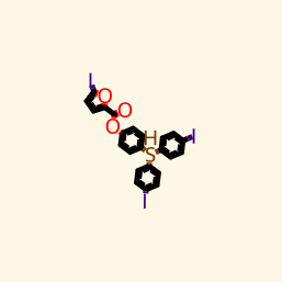 O=C(Oc1ccc([SH](c2ccc(I)cc2)c2ccc(I)cc2)cc1)c1ccc(I)o1